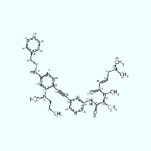 CCCN(C)c1nc(NCCc2ccncc2)ncc1C#Cc1cccc(NC(=O)C(C)N(C)C(=O)/C=C/CN(C)C)c1